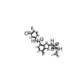 O=C(Nc1ccc(F)c(Cl)c1)c1ccc(F)c2c1CC(NS(=O)(=O)NC1CC1)C2